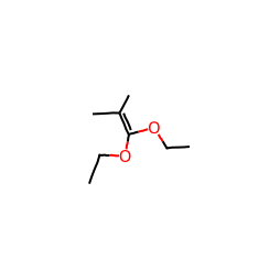 CCOC(OCC)=C(C)C